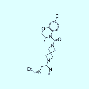 C=NC(C/N=C\CC)N1CC2(CN(C(=O)N3c4ccc(Cl)cc4OCC3C)C2)C1